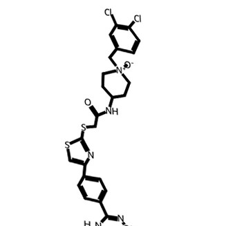 NC(=NO)c1ccc(-c2csc(SCC(=O)NC3CC[N+]([O-])(Cc4ccc(Cl)c(Cl)c4)CC3)n2)cc1